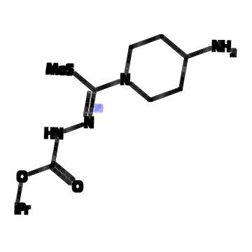 CS/C(=N\NC(=O)OC(C)C)N1CCC(N)CC1